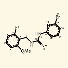 COc1cccc(F)c1CNC(=N)Nc1cccc(Br)n1